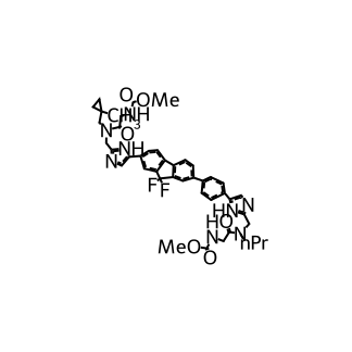 CCCN(Cc1ncc(-c2ccc(-c3ccc4c(c3)C(F)(F)c3cc(-c5cnc(CN(CC6(C)CC6)C(=O)CNC(=O)OC)[nH]5)ccc3-4)cc2)[nH]1)C(=O)CNC(=O)OC